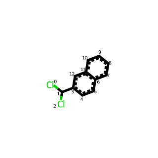 ClC(Cl)c1ccc2ccccc2c1